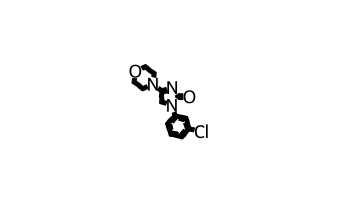 O=C1N=C(N2CCOCC2)CN1c1cccc(Cl)c1